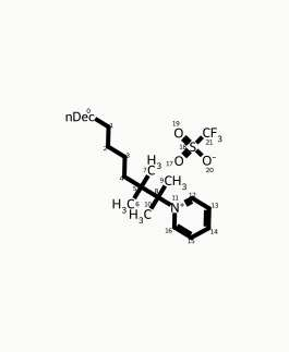 CCCCCCCCCCCCCCC(C)(C)C(C)(C)[n+]1ccccc1.O=S(=O)([O-])C(F)(F)F